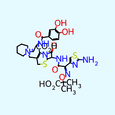 CC(C)(O/N=C(\C(=O)NC1C(=O)N2C(C(=O)O)=C(C[N+]3(CCNC(=O)c4ccc(O)c(O)c4)CCCCC3)CSC12)c1csc(N)n1)C(=O)O